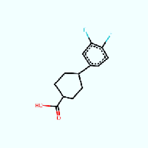 O=C(O)C1CCC(c2ccc(F)c(F)c2)CC1